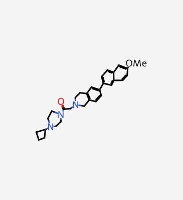 COc1ccc2cc(-c3ccc4c(c3)CCN(CC(=O)N3CCN(C5CCC5)CC3)C4)ccc2c1